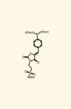 CCCCCN(CCCCC)c1ccc(/C=C2\SC(=S)N(CCS(=O)(=O)NC)C2=O)cc1